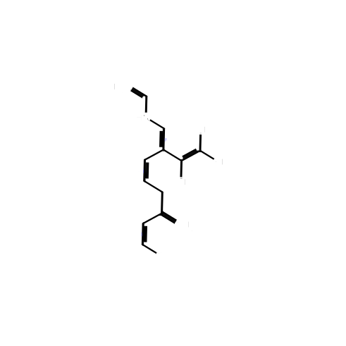 C=CN/C=C(\C=C/CC(=C)/C=C\C)C(C)=C(C)C